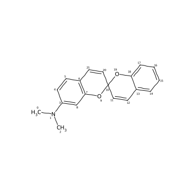 CN(C)c1ccc2c(c1)OC1(C=Cc3ccccc3O1)C=C2